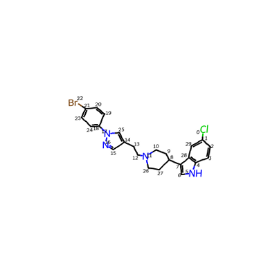 Clc1ccc2[nH]cc(C3CCN(CCc4cnn(-c5ccc(Br)cc5)c4)CC3)c2c1